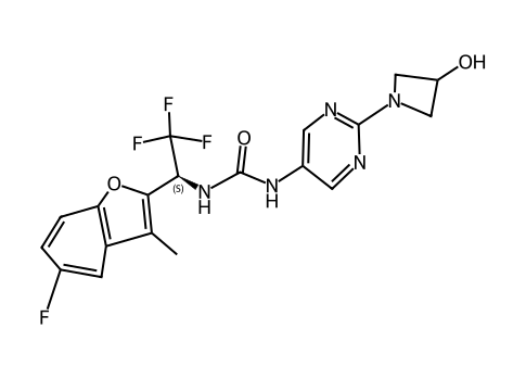 Cc1c([C@H](NC(=O)Nc2cnc(N3CC(O)C3)nc2)C(F)(F)F)oc2ccc(F)cc12